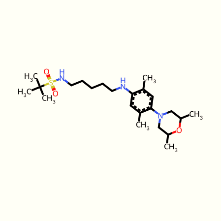 Cc1cc(N2CC(C)OC(C)C2)c(C)cc1NCCCCCNS(=O)(=O)C(C)(C)C